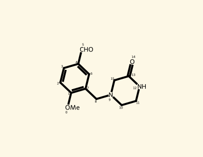 COc1ccc(C=O)cc1CN1CCNC(=O)C1